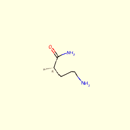 C[C@@H](CCN)C(N)=O